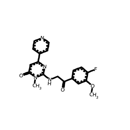 COc1cc(C(=O)CNc2nc(-c3ccncc3)cc(=O)n2C)ccc1F